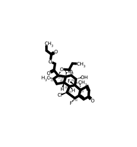 CCC(=O)OCC(=O)[C@]1(OC(=O)CC)[C@@H](C)C[C@H]2[C@@H]3[C@H](Cl)[C@@H](F)C4=CC(=O)C=C[C@]4(C)[C@@]3(F)[C@@H](O)C[C@@]21C